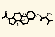 CC(=O)[C@@H]1CC[C@H]2C1CC[C@@H]1[C@]2(C)CCC2=C[C@H](OC(=O)[C@@H](N)C(C)C)CC[C@]21C